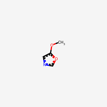 COc1[c]nco1